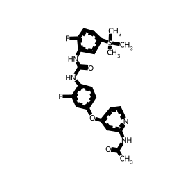 CC(=O)Nc1cc(Oc2ccc(NC(=O)Nc3cc(S(C)(C)C)ccc3F)c(F)c2)ccn1